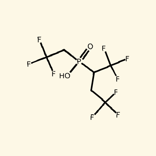 O=P(O)(CC(F)(F)F)C(CC(F)(F)F)C(F)(F)F